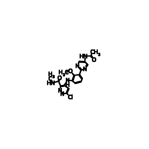 CNC(=O)c1nnc(Cl)cc1Nc1cccc(-c2ncc(NC(C)=O)cn2)c1OC